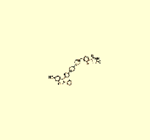 O=C1CCC(c2ccc(CN3CCN(C4CCN(c5ccc(C6c7ccc(O)cc7OCC6c6ccccc6)cc5)CC4)CC3)cc2F)C(=O)N1